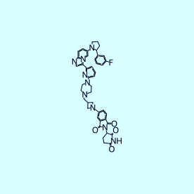 O=C1CCC(N2C(=O)c3ccc(N4CC(CN5CCN(c6cccc(-c7cnc8ccc(N9CCCC9c9cccc(F)c9)cn78)n6)CC5)C4)cc3C2=O)C(=O)N1